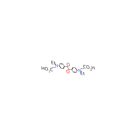 CCN(CCC(=O)O)c1ccc(C(=O)C(=O)c2ccc(N(CC)CCC(=O)O)cc2)cc1